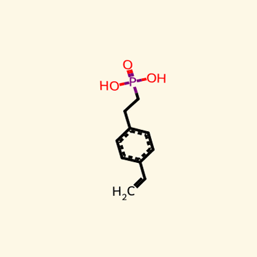 C=Cc1ccc(CCP(=O)(O)O)cc1